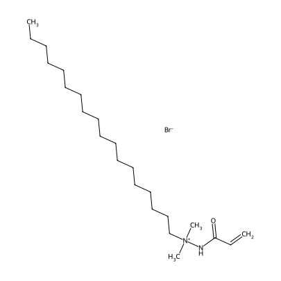 C=CC(=O)N[N+](C)(C)CCCCCCCCCCCCCCCCCC.[Br-]